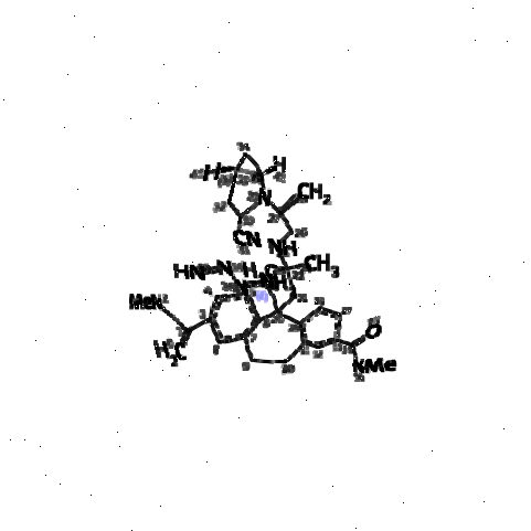 C=C(NC)c1ccc2c(c1)CCc1cc(C(=O)NC)ccc1C2(CC(C)(C)NCC(=C)N1C(C#N)C[C@@H]2C[C@@H]21)/C(N)=N/N=N